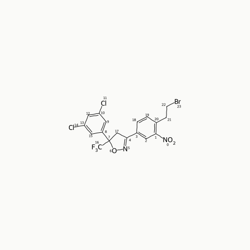 O=[N+]([O-])c1cc(C2=NOC(c3cc(Cl)cc(Cl)c3)(C(F)(F)F)C2)ccc1CCBr